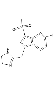 CS(=O)(=O)n1cc(CC2=NCCN2)c2ccc(F)cc21